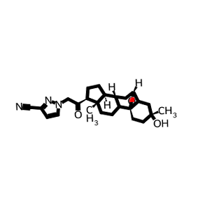 C[C@@]1(O)CC[C@]23CO[C@H](C[C@@H]4C2CC[C@]2(C)[C@@H](C(=O)Cn5ccc(C#N)n5)CC[C@@H]42)C3C1